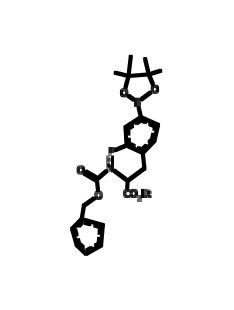 CCOC(=O)C(Cc1ccc(B2OC(C)(C)C(C)(C)O2)cc1F)NC(=O)OCc1ccccc1